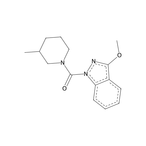 COc1nn(C(=O)N2CCCC(C)C2)c2ccccc12